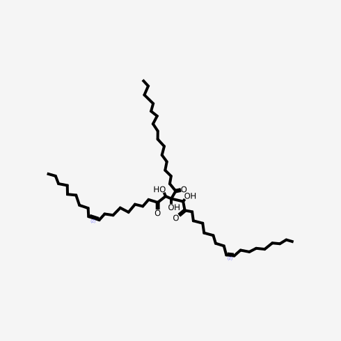 CCCCCCCC/C=C\CCCCCCCC(=O)C(O)C(O)(C(=O)CCCCCCCCCCCCCCC)C(O)C(=O)CCCCCCC/C=C\CCCCCCCC